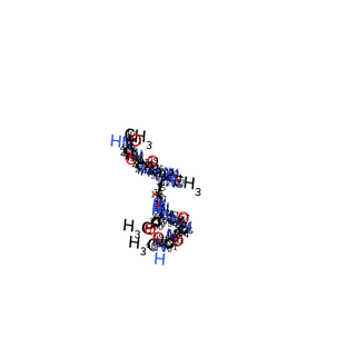 COc1ccc(C(c2nnn(CC3CC3C#CC(c3nnn(C)n3)N3CCN(C(=O)c4cc(-c5nc6cc(NC(C)=O)ccc6o5)ccn4)CC3)n2)N2CCN(C(=O)c3cc(-c4nc5cc(NC(C)=O)ccc5o4)ccn3)CC2)cc1